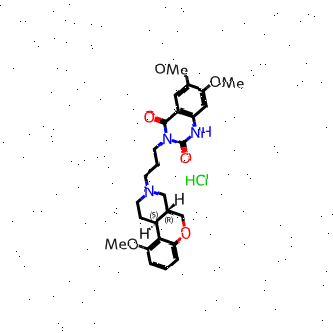 COc1cc2[nH]c(=O)n(CCCN3CC[C@@H]4c5c(OC)cccc5OC[C@H]4C3)c(=O)c2cc1OC.Cl